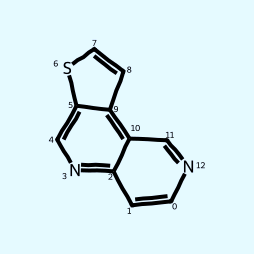 c1cc2ncc3sccc3c2cn1